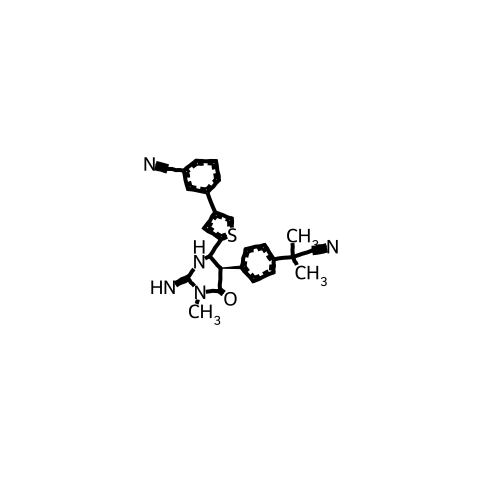 CN1C(=N)NC(c2cc(-c3cccc(C#N)c3)cs2)[C@@H](c2ccc(C(C)(C)C#N)cc2)C1=O